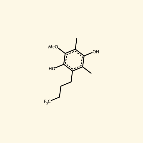 COc1c(C)c(O)c(C)c(CCCC(F)(F)F)c1O